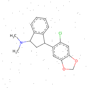 CN(C)C1CC(c2cc3c(cc2Cl)OCO3)c2ccccc21